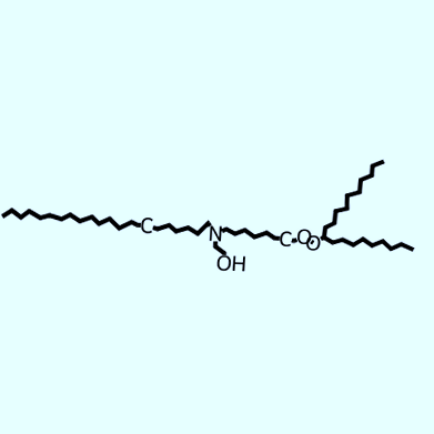 CCCCCCCCCCCCCCCCCCCCCCN(CCO)CCCCCCCCOOC(CCCCCCCCC)CCCCCCCCCC